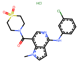 Cl.Cn1ccc2c(Nc3cccc(Cl)c3)ncc(C(=O)N3CCS(=O)(=O)CC3)c21